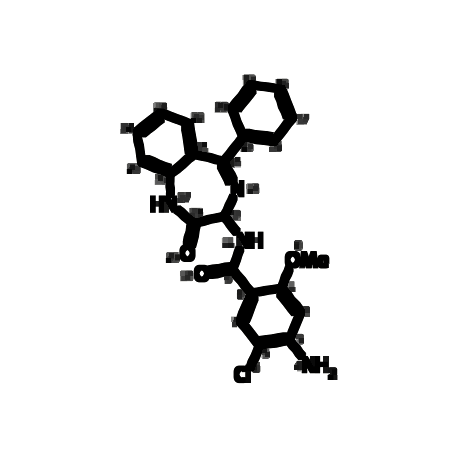 COc1cc(N)c(Cl)cc1C(=O)NC1N=C(c2ccccc2)c2ccccc2NC1=O